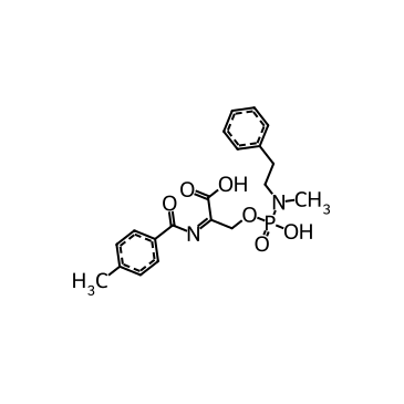 Cc1ccc(C(=O)/N=C(/COP(=O)(O)N(C)CCc2ccccc2)C(=O)O)cc1